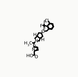 CC(N1C[C@H]2C[C@H](OCc3cccc(Cl)c3C(F)(F)F)C[C@H]2C1)n1ccc(C(=O)O)n1